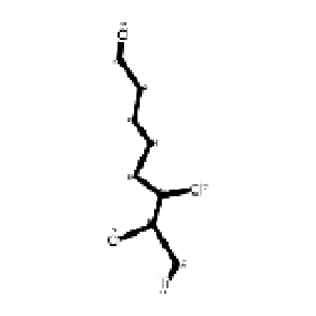 ClCCCCCC(Cl)C(Cl)[CH2][Ti]